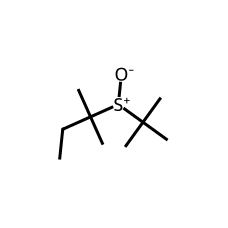 CCC(C)(C)[S+]([O-])C(C)(C)C